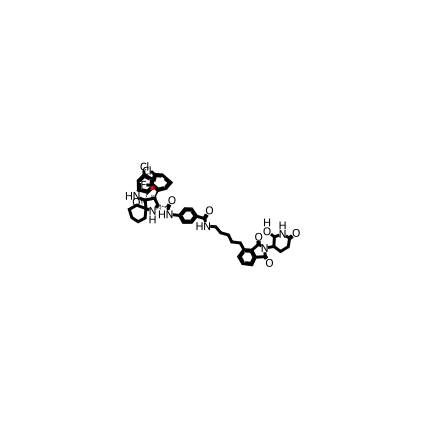 O=C1CCC(N2C(=O)c3cccc(CCCCCNC(=O)c4ccc(NC(=O)[C@@H]5NC6(CCCCC6)[C@@]6(C(=O)Nc7cc(Cl)ccc76)[C@H]5c5cccc(Cl)c5F)cc4)c3C2=O)C(O)N1